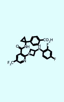 O=C(O)c1ccc(C2(NC(=O)c3cc(C(F)(F)F)cnc3N3CC(Nc4ccc(F)cc4F)C3)CC2)cc1